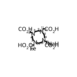 O=C(O)CN1CCN(CC(=O)O)CCN(CC(=O)O)CCN(CC(=O)O)CC1.[Fe].[NaH]